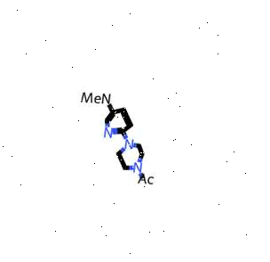 CNc1ccc(N2CCN(C(C)=O)CC2)nc1